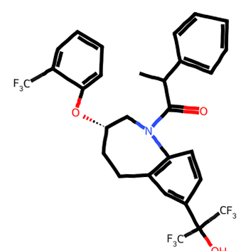 CC(C(=O)N1C[C@@H](Oc2ccccc2C(F)(F)F)CCc2cc(C(O)(C(F)(F)F)C(F)(F)F)ccc21)c1ccccc1